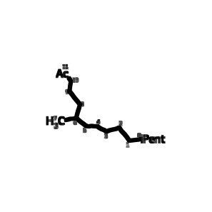 CCCC(C)CCCCCC(C)CCCC(C)=O